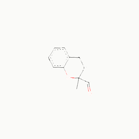 CC1(C=O)CCc2ccccc2O1